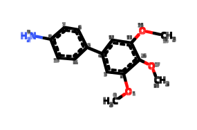 COc1cc(-c2ccc(N)cc2)cc(OC)c1OC